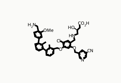 COc1cc(-c2cccc(-c3cccc(COc4cc(OCc5cncc(C#N)c5)c(CNC[C@@H](O)CC(=O)O)cc4Cl)c3C)c2C)ccc1CN